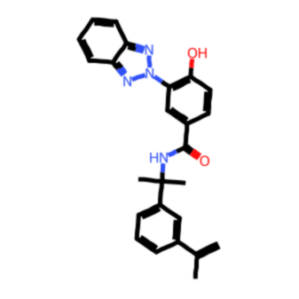 C=C(C)c1cccc(C(C)(C)NC(=O)c2ccc(O)c(-n3nc4ccccc4n3)c2)c1